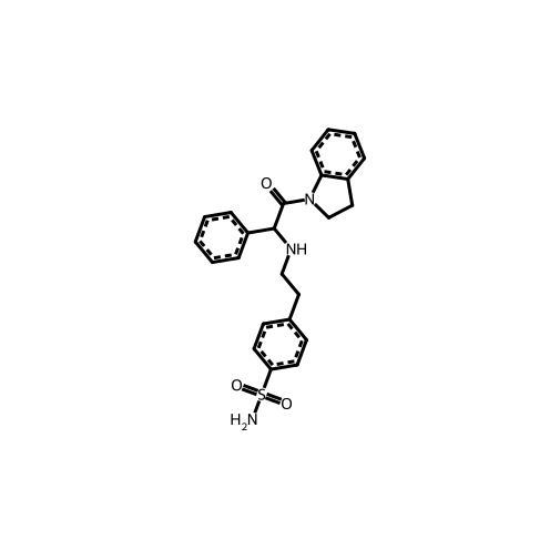 NS(=O)(=O)c1ccc(CCNC(C(=O)N2CCc3ccccc32)c2ccccc2)cc1